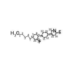 CCCCCCc1ccc(-c2ccc(-c3ccc(F)nc3)cc2)c(F)c1